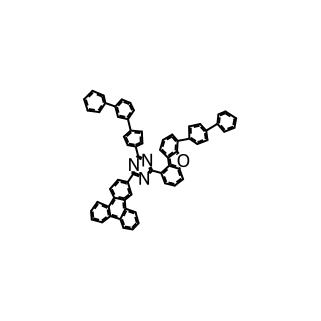 c1ccc(-c2ccc(-c3cccc4c3oc3cccc(-c5nc(-c6ccc(-c7cccc(-c8ccccc8)c7)cc6)nc(-c6ccc7c8ccccc8c8ccccc8c7c6)n5)c34)cc2)cc1